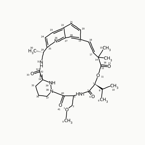 COCC1NC(=O)[C@H](C(C)C)OC(=O)C(C)(C)/C=C/c2ccc3ccc(nc3c2)[C@@H](C)NC(=O)[C@@H]2CCCN(N2)C1=O